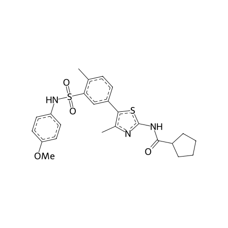 COc1ccc(NS(=O)(=O)c2cc(-c3sc(NC(=O)C4CCCC4)nc3C)ccc2C)cc1